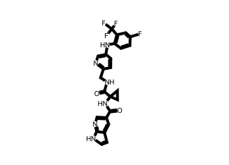 O=C(NC1(C(=O)NCc2ccc(Nc3ccc(F)cc3C(F)(F)F)cn2)CC1)c1cnc2[nH]ccc2c1